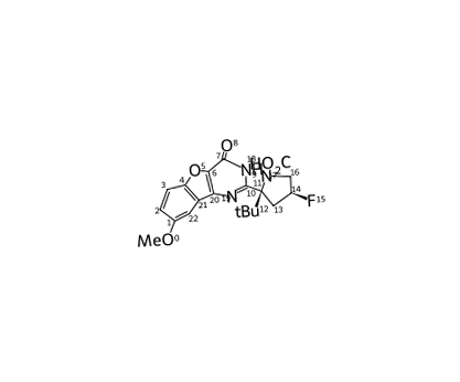 COc1ccc2oc3c(=O)[nH]c([C@@]4(C(C)(C)C)C[C@H](F)CN4C(=O)O)nc3c2c1